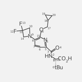 CC(C)(C)[C@H](NC(=O)c1ccc(N2CC(F)(F)C2)c(OCC2CC2)n1)C(=O)O